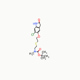 CN(CCSCCOc1cc2c(cc1Cl)NC(=O)C2)C(=O)OC(C)(C)C